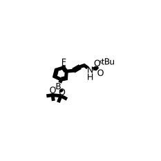 CC(C)(C)OC(=O)NCC#Cc1cc(B2OC(C)(C)C(C)(C)O2)ccc1F